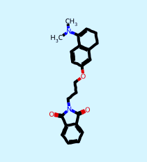 CN(C)C1=CCCc2cc(OCCCN3C(=O)c4ccccc4C3=O)ccc21